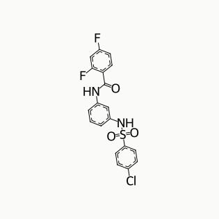 O=C(Nc1cccc(NS(=O)(=O)c2ccc(Cl)cc2)c1)c1ccc(F)cc1F